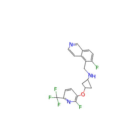 Fc1ccc2cnccc2c1CNC1CC(Oc2ccc(C(F)(F)F)nc2F)C1